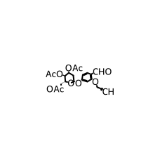 C#CCOc1cc(O[C@H]2C[C@@H](OC(C)=O)[C@H](OC(C)=O)[C@@H](COC(C)=O)O2)ccc1C=O